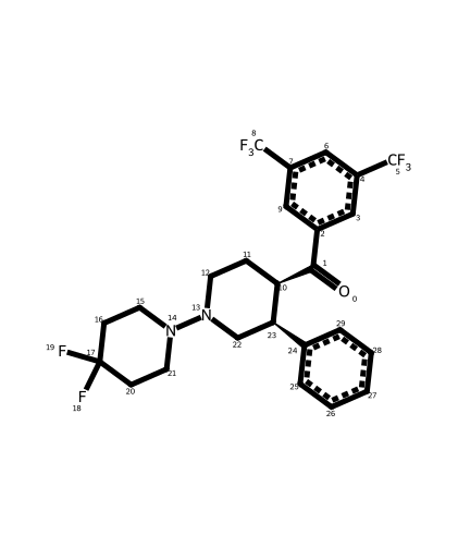 O=C(c1cc(C(F)(F)F)cc(C(F)(F)F)c1)[C@@H]1CCN(N2CCC(F)(F)CC2)C[C@@H]1c1ccccc1